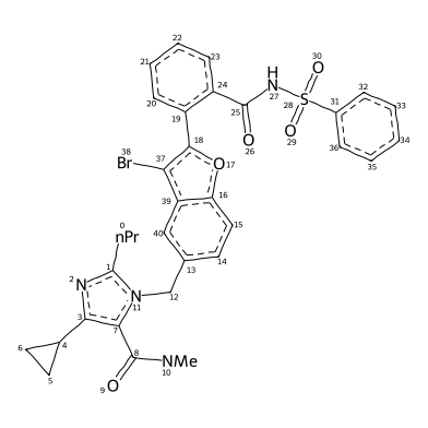 CCCc1nc(C2CC2)c(C(=O)NC)n1Cc1ccc2oc(-c3ccccc3C(=O)NS(=O)(=O)c3ccccc3)c(Br)c2c1